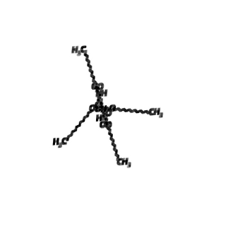 CCCCCCCCCCCCCCOC(=O)CNCCN(CCN(CCNCC(=O)OCCCCCCCCCCCCCC)CC(=O)OCCCCCCCCCCCCCC)CC(=O)OCCCCCCCCCCCCCC